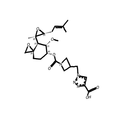 CO[C@@H]1[C@H](OC(=O)N2CC(Cn3cc(C(=O)O)nn3)C2)CC[C@]2(CO2)[C@H]1[C@@]1(C)O[C@@H]1CC=C(C)C